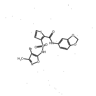 Cc1noc(NS(=O)(=O)c2ccsc2C(=O)Nc2ccc3c(c2)OCO3)c1Br